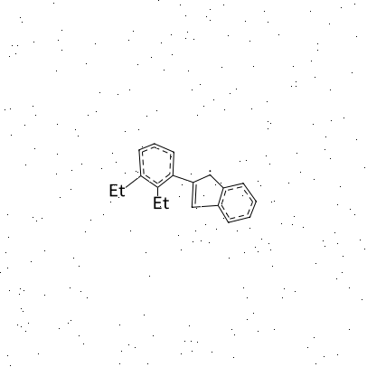 CCc1cccc(C2=Cc3ccccc3[CH]2)c1CC